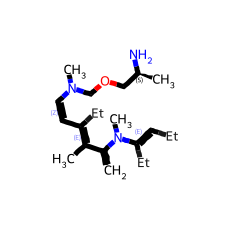 C=C(/C(C)=C(/C=C\N(C)COC[C@H](C)N)CC)N(C)/C(=C/CC)CC